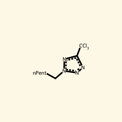 CCCCCCn1nnc(C(Cl)(Cl)Cl)n1